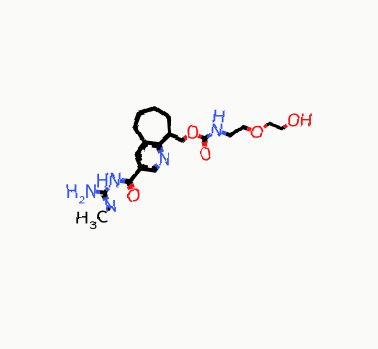 CN=C(N)NC(=O)c1cnc2c(c1)CCCCC2COC(=O)NCCOCCO